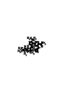 CC(C)[C@H]1CCN(C(=O)[C@@H](NC(=O)NC(C)(C)C)C(C)(C)C)[C@@H]1C(=O)NC(CC1CCC1)C(=O)C(N)=O